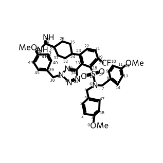 COc1ccc(CN(Cc2ccc(OC)cc2)S(=O)(=O)c2c(C(F)(F)F)ccc(C3CCC(C(=N)N)CC3)c2-c2nnn(Cc3ccc(OC)cc3)n2)cc1